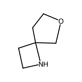 C1CC2(CCOC2)N1